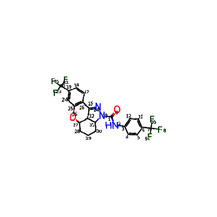 O=C(Nc1ccc(C(F)(F)F)cc1)N1N=C2c3ccc(C(F)(F)F)cc3OC3CCCC1C23